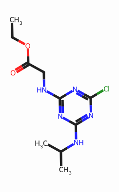 CCOC(=O)CNc1nc(Cl)nc(NC(C)C)n1